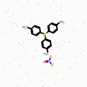 Cc1ccc([S+](c2ccc(C)cc2)c2ccc(C)cc2)cc1.O=[N+]([O-])[O-]